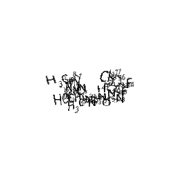 CC(c1cnc(N2CC[C@H]2[C@@H](C)N2CC(C)(O)C2)nc1)n1cc(NC(=O)c2cncc(-c3c(C(F)F)ccc(Cl)c3F)n2)cn1